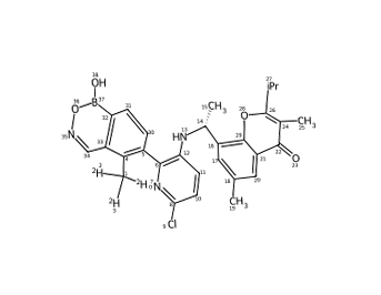 [2H]C([2H])([2H])c1c(-c2nc(Cl)ccc2N[C@H](C)c2cc(C)cc3c(=O)c(C)c(C(C)C)oc23)ccc2c1C=NOB2O